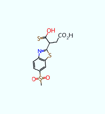 CS(=O)(=O)c1ccc2nc(C(CC(=O)O)C(O)=S)sc2c1